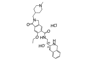 CCOc1cc2c(cc1C(=O)NC[C@@H](O)[C@@H]1Cc3ccccc3CN1)CN(CC1CCN(C)CC1)C2=O.Cl